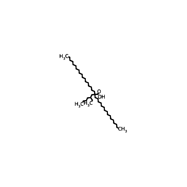 CCCCCCCCCCCCCCCCCCC(CCCCCCCCCCCCCCCC)(CC(CC)CCCC)C(=O)O